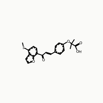 CSc1ccc(C(=O)C=Cc2ccc(OC(C)(C)C(=O)O)cc2)c2occc12